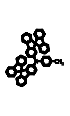 Cc1ccc(N(c2ccc3c(c2)C2(c4ccccc4-c4ccccc42)c2ccccc2-3)c2ccc3c(c2)C2(c4ccccc4-c4ccccc42)c2ccccc2-3)cc1